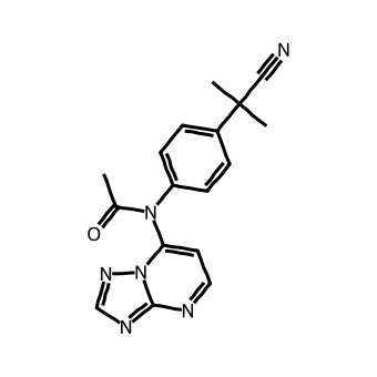 CC(=O)N(c1ccc(C(C)(C)C#N)cc1)c1ccnc2ncnn12